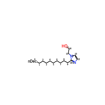 CCCCCCCCCCCCCCCCCCCc1nccn1CCO